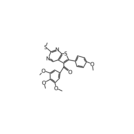 COc1ccc(-c2sc3nc(SC)ncc3c2C(=O)c2cc(OC)c(OC)c(OC)c2)cc1